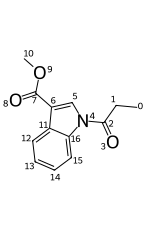 CCC(=O)n1cc(C(=O)OC)c2ccccc21